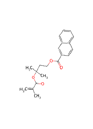 C=C(C)C(=O)OC(C)(C)CCOC(=O)c1ccc2ccccc2c1